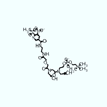 C#CCN(CCOP(=O)([O-])OCC[N+](C)(C)C)C(=O)CN(CC#C)C(=O)COCC(=O)NCCNC(=O)c1cnc(S(C)(=O)=O)c([N+](=O)[O-])c1